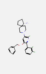 N[C@@H]1CCCC12CCN(c1cc(OCc3ccccc3)c(-c3cccc(Cl)c3Cl)nc1Br)CC2